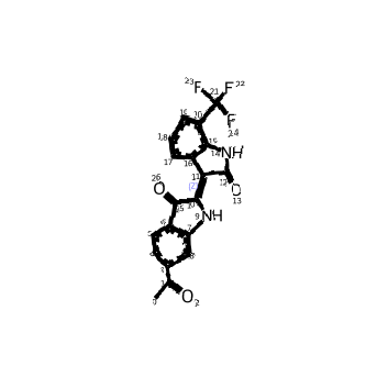 CC(=O)c1ccc2c(c1)N/C(=C1\C(=O)Nc3c1cccc3C(F)(F)F)C2=O